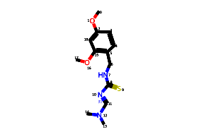 COc1ccc(CNC(=S)/N=C/N(C)C)c(OC)c1